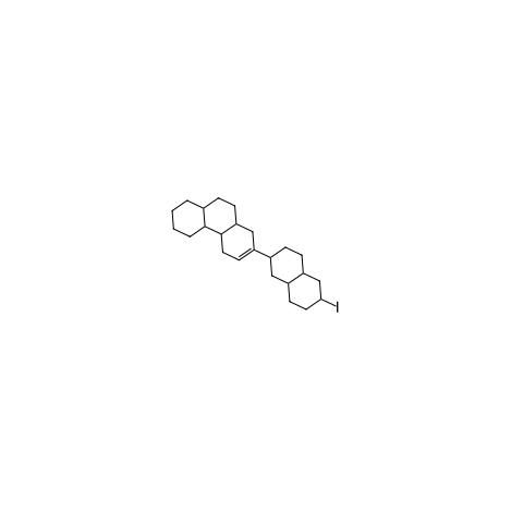 IC1CCC2CC(C3=CCC4C(CCC5CCCCC54)C3)CCC2C1